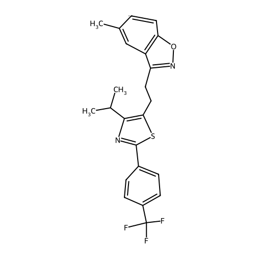 Cc1[c]cc2onc(CCc3sc(-c4ccc(C(F)(F)F)cc4)nc3C(C)C)c2c1